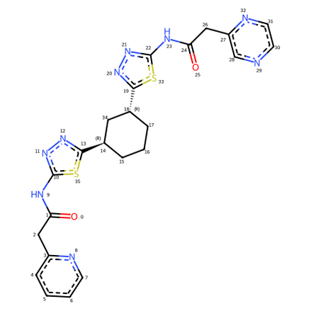 O=C(Cc1ccccn1)Nc1nnc([C@@H]2CCC[C@@H](c3nnc(NC(=O)Cc4cnccn4)s3)C2)s1